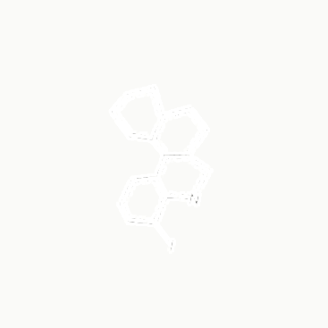 Ic1cccc2c1ncc1ccc3ccccc3c12